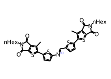 CCCCCCN1C(=O)c2sc(-c3ccc(/C=N/c4ccc(-c5sc6c(c5C)C(=O)N(CCCCCC)C6=O)s4)s3)c(C)c2C1=O